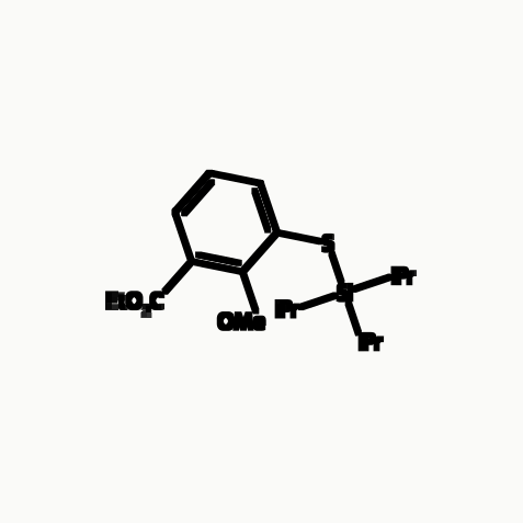 CCOC(=O)c1cccc(S[Si](C(C)C)(C(C)C)C(C)C)c1OC